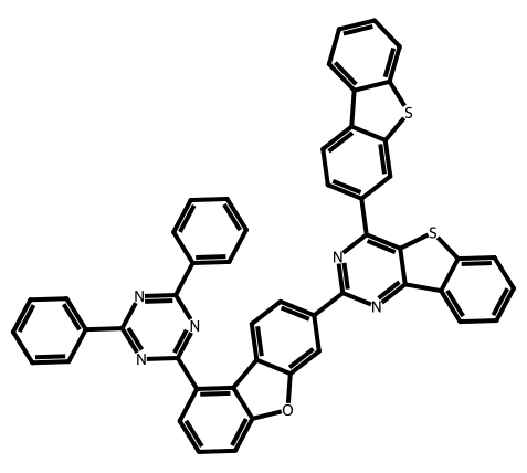 c1ccc(-c2nc(-c3ccccc3)nc(-c3cccc4oc5cc(-c6nc(-c7ccc8c(c7)sc7ccccc78)c7sc8ccccc8c7n6)ccc5c34)n2)cc1